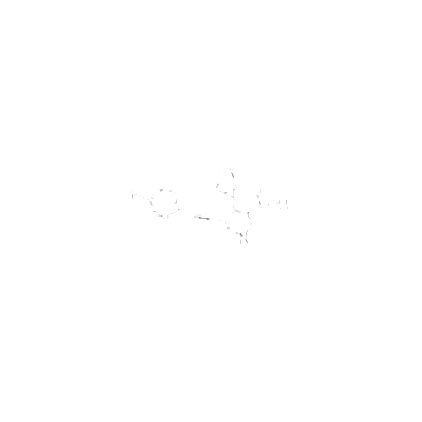 O=C(O)c1cncc(C#Cc2ccc(F)cc2)c1-n1cccc1